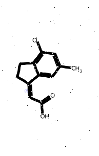 Cc1cc(Cl)c2c(c1)/C(=C\C(=O)O)CC2